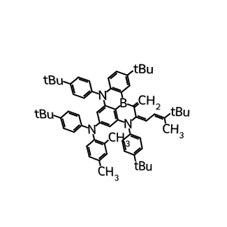 C=C1B2c3cc(C(C)(C)C)ccc3N(c3ccc(C(C)(C)C)cc3)c3cc(N(c4ccc(C(C)(C)C)cc4)c4ccc(C)cc4C)cc(c32)N(c2ccc(C(C)(C)C)cc2)/C1=C/C=C(\C)C(C)(C)C